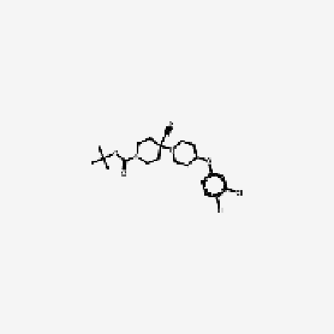 CC(C)(C)OC(=O)N1CCC(C#N)(N2CCC(Oc3ccc(Cl)c(Cl)c3)CC2)CC1